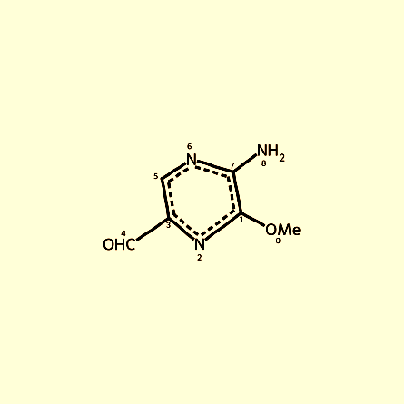 COc1nc(C=O)cnc1N